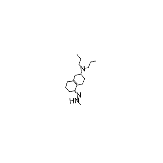 CCCN(CCC)C1CCC2=C(CCCC2=NNC)C1